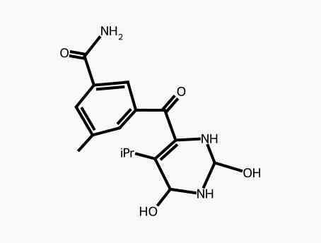 Cc1cc(C(N)=O)cc(C(=O)C2=C(C(C)C)C(O)NC(O)N2)c1